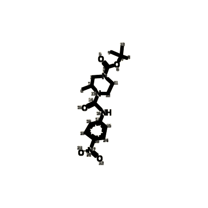 CC1CN(C(=O)OC(C)(C)C)CCN1C(=O)Nc1ccc([N+](=O)[O-])cc1